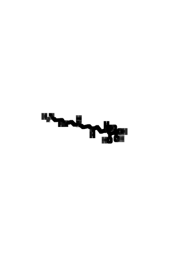 NCCNCCNCCNCCNC(O)C(O)(O)O